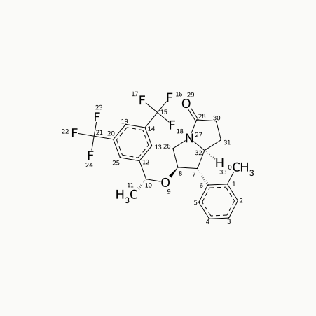 Cc1ccccc1[C@@H]1[C@@H](O[C@H](C)c2cc(C(F)(F)F)cc(C(F)(F)F)c2)CN2C(=O)CC[C@@H]12